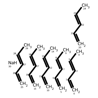 C=CC=CC.C=CC=CC.C=CC=CC.C=CC=CC.C=CC=CC.C=CC=CC.[NaH]